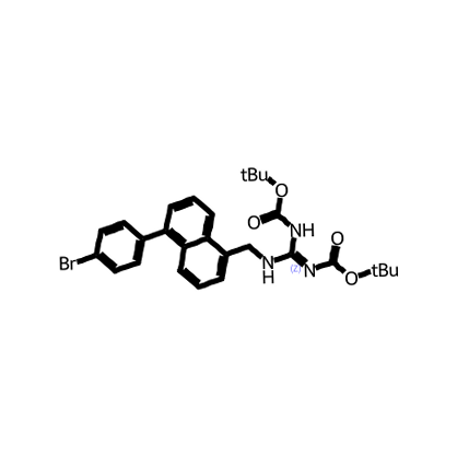 CC(C)(C)OC(=O)/N=C(/NCc1cccc2c(-c3ccc(Br)cc3)cccc12)NC(=O)OC(C)(C)C